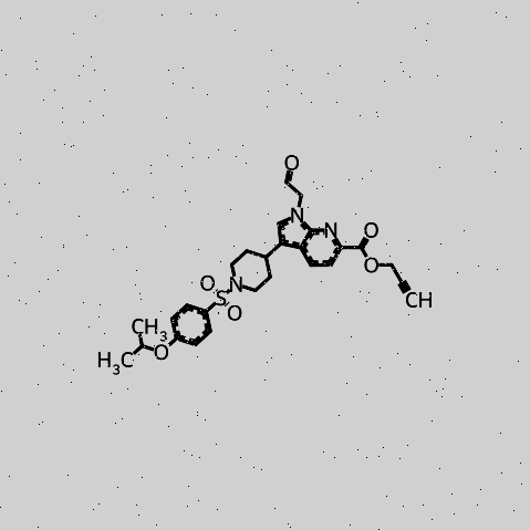 C#CCOC(=O)c1ccc2c(C3CCN(S(=O)(=O)c4ccc(OC(C)C)cc4)CC3)cn(CC=O)c2n1